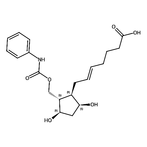 O=C(O)CCCC=CC[C@@H]1[C@@H](COC(=O)Nc2ccccc2)[C@H](O)C[C@@H]1O